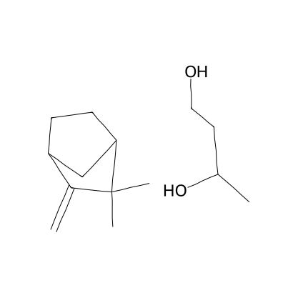 C=C1C2CCC(C2)C1(C)C.CC(O)CCO